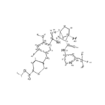 CCOC(=O)C1CCC(Oc2cc(C(=O)N[C@@H]3[C@H]4CC[C@H](C4)[C@@H]3C(=O)Nc3ccnc(C(F)(F)F)c3)c(OC)cc2F)CC1